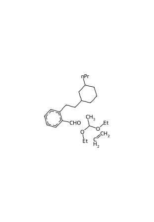 C=C.CCCC1CCCC(CCc2ccccc2C=O)C1.CCOC(C)OCC